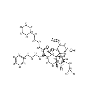 CC(=O)Oc1cc(O)c2c3c1O[C@H]1[C@H](N(CCCCc4ccccc4)C(=O)CCCCC4CCCCC4)CC[C@H]4[C@@H](C2)N(CC2CC2)CC[C@@]341